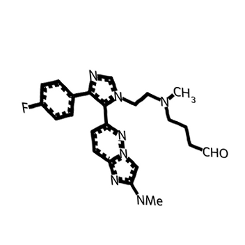 CNc1cn2nc(-c3c(-c4ccc(F)cc4)ncn3CCN(C)CCCC=O)ccc2n1